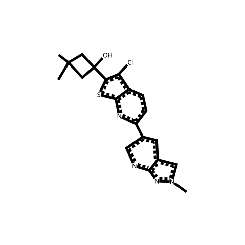 Cn1cc2cc(-c3ccc4c(Cl)c(C5(O)CC(C)(C)C5)sc4n3)cnc2n1